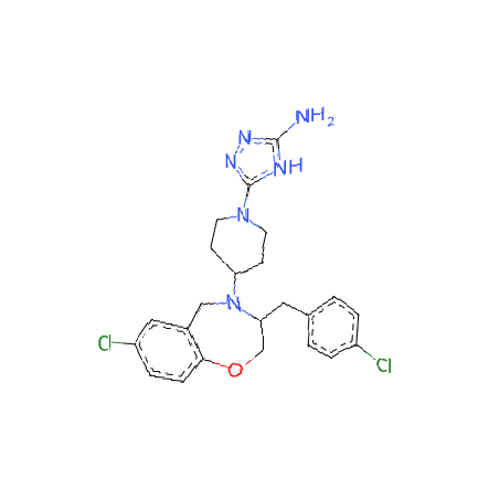 Nc1nnc(N2CCC(N3Cc4cc(Cl)ccc4OCC3Cc3ccc(Cl)cc3)CC2)[nH]1